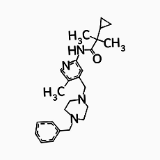 Cc1cnc(NC(=O)C(C)(C)C2CC2)cc1CN1CCN(Cc2ccccc2)CC1